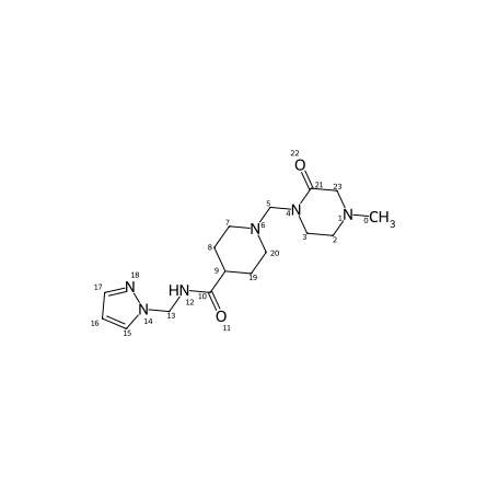 CN1CCN(CN2CCC(C(=O)NCn3cccn3)CC2)C(=O)C1